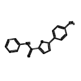 Cc1ccc(-c2ccc(C(=O)Nc3ccccc3)o2)cc1